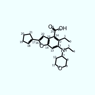 CCc1c(N(CC)C2CCOCC2)cc2oc(C3=CCCC3)cc2c1C(=O)O